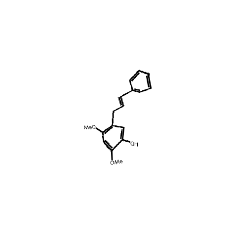 COc1cc(OC)c(CC=Cc2ccccc2)cc1O